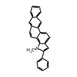 Cn1c(-c2ccccc2)cc2ccc3c4cc5ccccc5cc4ccc3c21